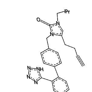 C#CCCc1cn(CC(C)C)c(=O)n1Cc1ccc(-c2ccccc2-c2nnn[nH]2)cc1